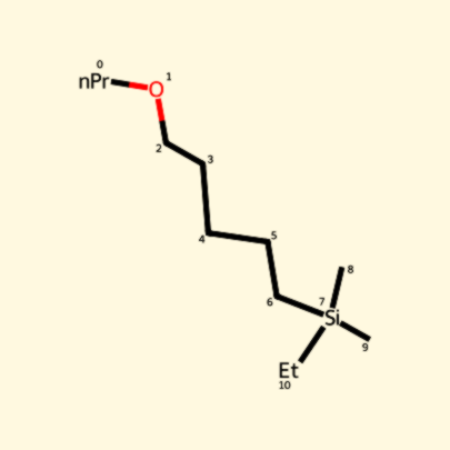 CCCOCCCCC[Si](C)(C)CC